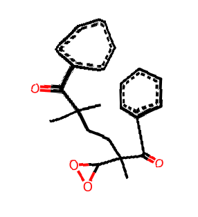 CC(C)(CCC(C)(C(=O)c1ccccc1)C1OO1)C(=O)c1ccccc1